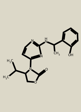 CC(Nc1nccc(N2C(=O)OCC2C(C)C)n1)c1ccccc1O